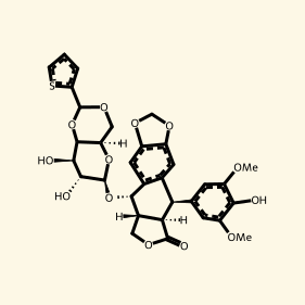 COc1cc([C@@H]2c3cc4c(cc3[C@@H](O[C@@H]3O[C@@H]5COC(c6cccs6)OC5[C@H](O)[C@H]3O)[C@H]3COC(=O)[C@H]23)OCO4)cc(OC)c1O